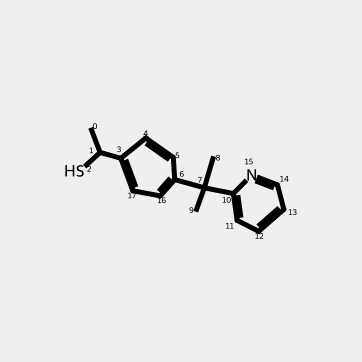 CC(S)c1ccc(C(C)(C)c2ccccn2)cc1